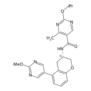 COc1ncc(-c2cccc3c2C[C@H](NC(=O)c2cnc(OC(C)C)nc2C)CO3)cn1